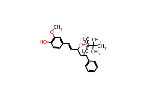 COc1cc(C=CC(CCc2ccccc2)O[Si](C)(C)C(C)(C)C)ccc1O